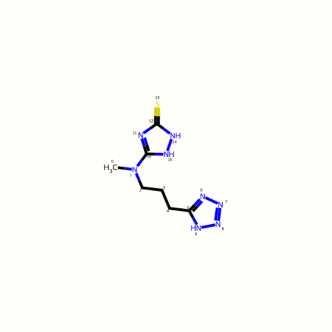 CN(CCCc1nnn[nH]1)c1nc(=S)[nH][nH]1